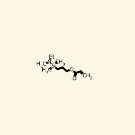 C=CC(=O)OCCC[Si](C)(C)N(C)CC